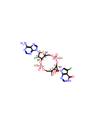 Nc1ncnc2c1ncn2[C@@H]1O[C@@H]2CO[P@@](=O)(S)O[C@@H]3[C@H](O)[C@@H](CO[P@@](=O)(S)O[C@H]2[C@H]1F)O[C@H]3n1cc(F)c2c(=O)[nH]cnc21